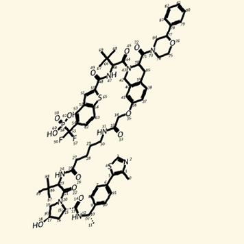 Cc1ncsc1-c1ccc([C@H](C)NC(=O)[C@@H]2C[C@@H](O)CN2C(=O)C(NC(=O)CCCCNC(=O)COc2ccc3c(c2)CN(C(=O)C(NC(=O)c2cc4cc(C(F)(F)P(=O)(O)O)ccc4s2)C(C)(C)C)C(C(=O)N2CCOC(c4ccccc4)C2)C3)C(C)(C)C)cc1